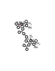 Cc1cc2c3c(c1)N1c4c(cc(C(C)(C)C)cc4C4(C)CCCCC14C)B3c1ccc(N(c3ccccc3)c3ccc(-c4ccc5sc6c(N7c8cc(N(c9ccccc9)c9ccccc9)ccc8B8c9cc(C(C)(C)C)cc%10c9N(c9cc(C)cc7c98)C7(C)CCCCC%107C)cccc6c5c4)cc3)cc1N2c1cccc2c1C(C)(C)c1ccccc1-2